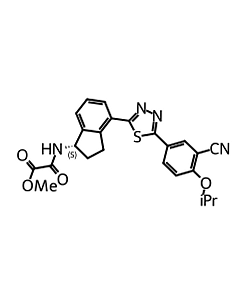 COC(=O)C(=O)N[C@H]1CCc2c(-c3nnc(-c4ccc(OC(C)C)c(C#N)c4)s3)cccc21